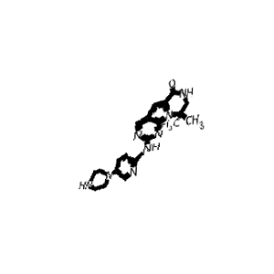 CC1(C)CNC(=O)c2cc3cnc(Nc4ccc(N5CCNCC5)cn4)nc3n21